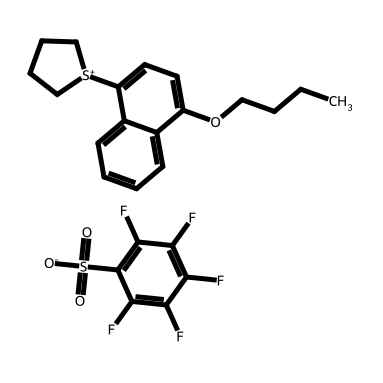 CCCCOc1ccc([S+]2CCCC2)c2ccccc12.O=S(=O)([O-])c1c(F)c(F)c(F)c(F)c1F